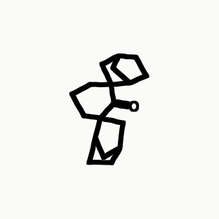 O=C1C2(CCCC13CC1CCC3C1)CC1CCC2C1